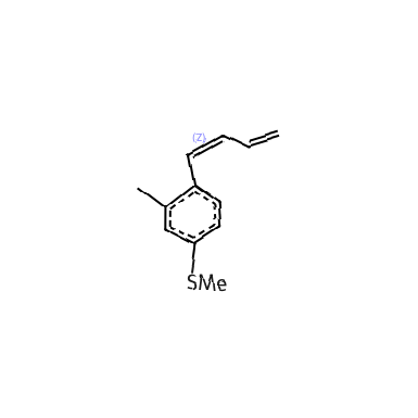 C=C/C=C\c1ccc(SC)cc1C